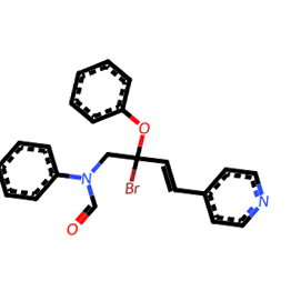 O=CN(CC(Br)(/C=C/c1ccncc1)Oc1ccccc1)c1ccccc1